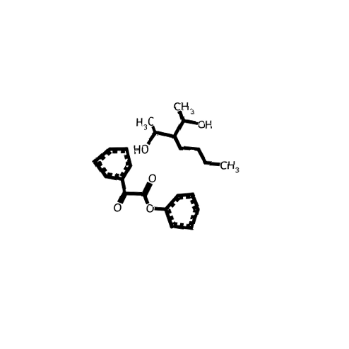 CCCCC(C(C)O)C(C)O.O=C(Oc1ccccc1)C(=O)c1ccccc1